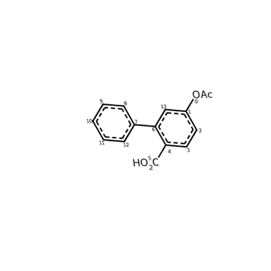 CC(=O)Oc1ccc(C(=O)O)c(-c2ccccc2)c1